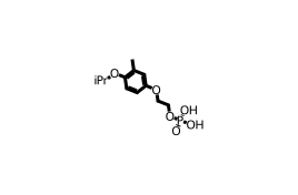 Cc1cc(OCCOP(=O)(O)O)ccc1OC(C)C